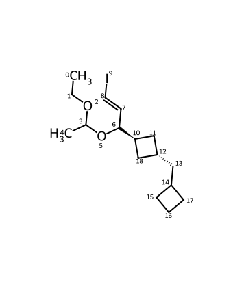 CCOC(C)OC(C=CI)[C@H]1C[C@H](CC2CCC2)C1